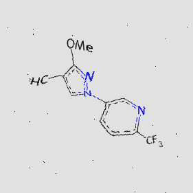 [CH]c1cn(-c2ccc(C(F)(F)F)nc2)nc1OC